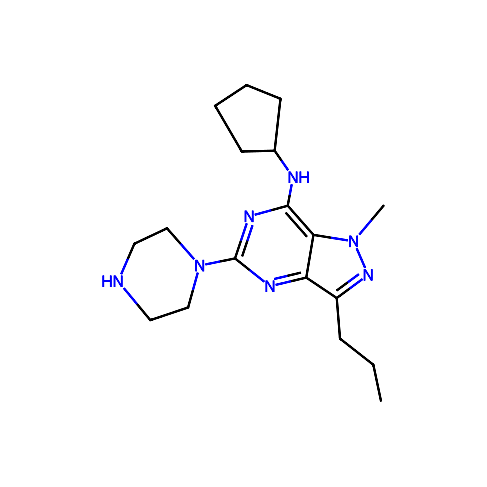 CCCc1nn(C)c2c(NC3CCCC3)nc(N3CCNCC3)nc12